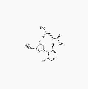 CNC1=NC(c2c(Cl)cccc2Cl)CN1.O=C(O)/C=C/C(=O)O